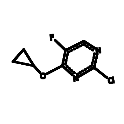 Fc1cnc(Cl)nc1OC1CC1